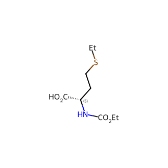 CCOC(=O)N[C@@H](CCSCC)C(=O)O